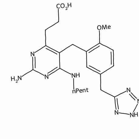 CCCCCNc1nc(N)nc(CCC(=O)O)c1Cc1cc(Cc2nn[nH]n2)ccc1OC